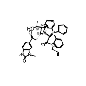 C=CCOC(=O)C(N1C(=O)[C@H]([C@@H](C)O)[C@H]1CC(=O)c1ccc2c(c1)n(C)c(=O)n2C)=P(c1ccccc1)(c1ccccc1)c1ccccc1